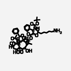 CC(=O)O[C@@]12CO[C@@H]1C[C@H](O)[C@@]1(C)C(=O)[C@H](O)C3=C(C)[C@@H](OC(=O)[C@H](OC(=O)CCCCCN)[C@@H](NC(=O)OC(C)(C)C)c4ccccc4)C[C@@](O)([C@@H](OC(=O)c4ccccc4)[C@H]21)C3(C)C